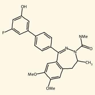 CNC(=O)N1N=C(c2ccc(-c3cc(O)cc(F)c3)cc2)c2cc(OC)c(OC)cc2CC1C